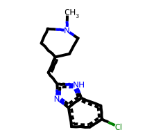 CN1CCC(=Cc2nc3ccc(Cl)cc3[nH]2)CC1